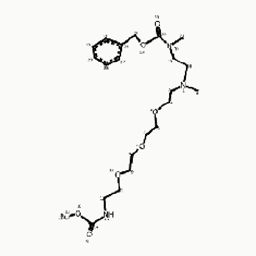 CN(CCOCCOCCOCCNC(=O)OC(C)(C)C)CCN(C)C(=O)OCc1ccccc1